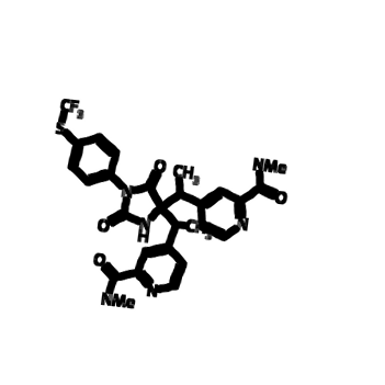 CNC(=O)c1cc(C(C)C2(C(C)c3ccnc(C(=O)NC)c3)NC(=O)N(c3ccc(SC(F)(F)F)cc3)C2=O)ccn1